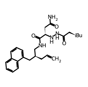 C=CC[C@H](CNC(=O)[C@H](CC(N)=O)NNC(=O)C[C@H](C)CC)Cc1cccc2ccccc12